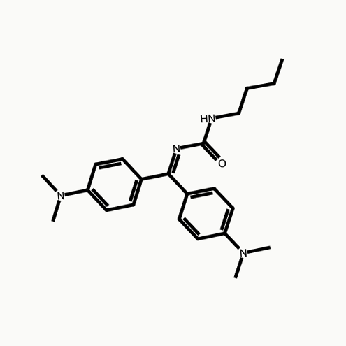 CCCCNC(=O)N=C(c1ccc(N(C)C)cc1)c1ccc(N(C)C)cc1